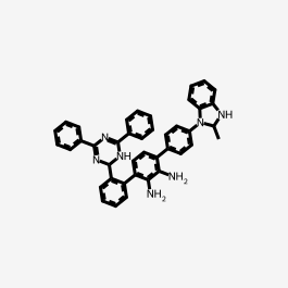 CC1Nc2ccccc2N1c1ccc(-c2ccc(-c3ccccc3C3N=C(c4ccccc4)N=C(c4ccccc4)N3)c(N)c2N)cc1